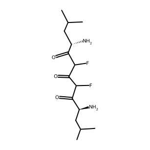 CC(C)C[C@H](N)C(=O)C(F)C(=O)C(F)C(=O)[C@@H](N)CC(C)C